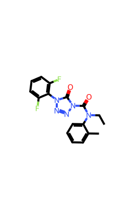 CCN(C(=O)n1nnn(-c2c(F)cccc2F)c1=O)c1ccccc1C